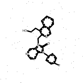 O=c1n(Cc2ncc3ccccc3c2CCO)c2cnccc2n1-c1ccc(F)cc1